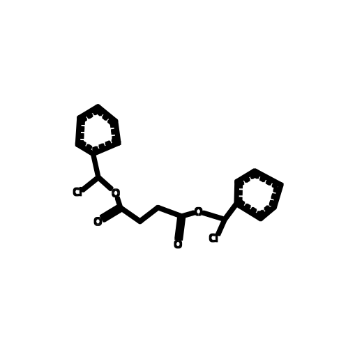 O=C(CCC(=O)OC(Cl)c1ccccc1)OC(Cl)c1ccccc1